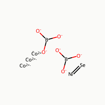 [Co+2].[Co+2].[Co+2].[Ni]=[Se].[O-]B([O-])[O-].[O-]B([O-])[O-]